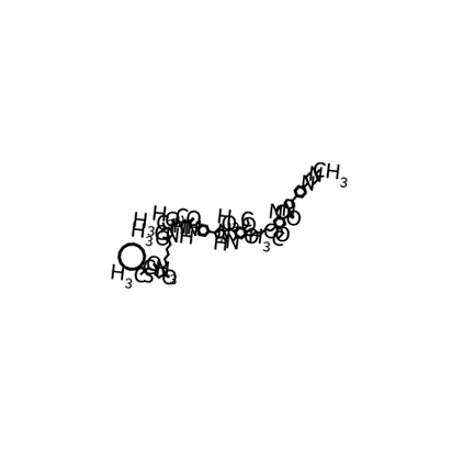 COc1cc2c(cc1OCCCOc1cc3c(cc1OC)C(=O)N1C=C(c4ccc(NC(=O)[C@H](C)NC(=O)[C@@H](NC(=O)CCCCCN5C(=O)CC(SC(C)(C)c6ccccccccccccc6)C5=O)C(C)C)cc4)C[C@H]1C=N3)N=CC1CC(c3ccc(N4CCN(C)CC4)cc3)=CN1C2=O